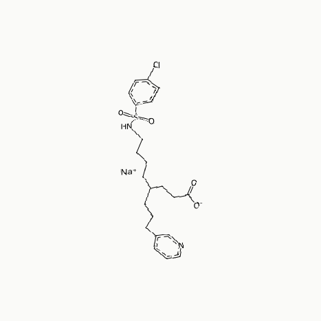 O=C([O-])CCC(CCCCNS(=O)(=O)c1ccc(Cl)cc1)CCCc1cccnc1.[Na+]